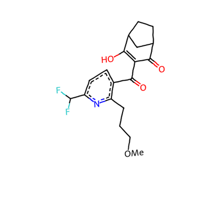 COCCCc1nc(C(F)F)ccc1C(=O)C1=C(O)C2CCC(C2)C1=O